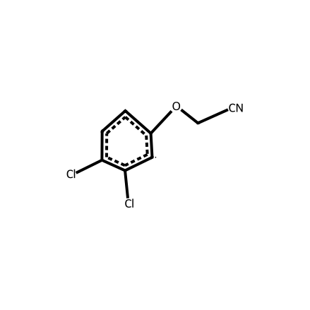 N#CCOc1[c]c(Cl)c(Cl)cc1